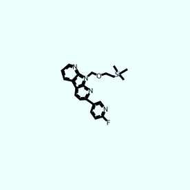 C[Si](C)(C)CCOCn1c2ncccc2c2ccc(-c3ccc(F)nc3)nc21